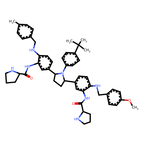 COc1ccc(CNc2ccc(C3CCC(c4ccc(NCc5ccc(C)cc5)c(NC(=O)C5CCCN5)c4)N3c3ccc(C(C)(C)C)cc3)cc2NC(=O)C2CCCN2)cc1